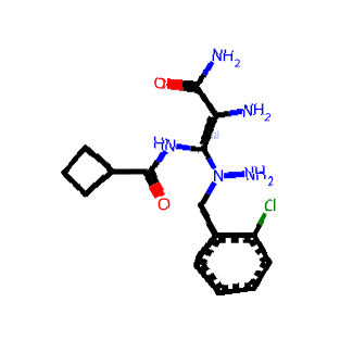 NC(=O)/C(N)=C(\NC(=O)C1CCC1)N(N)Cc1ccccc1Cl